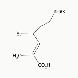 CCCCCCCCC(C=C(C)C(=O)O)CC